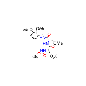 COC[C@H](NC(=O)[C@H](CC(=O)O)NC(=O)OC(C)(C)C)C(=O)NCc1cccc(OC)c1OC